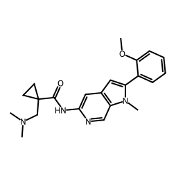 COc1ccccc1-c1cc2cc(NC(=O)C3(CN(C)C)CC3)ncc2n1C